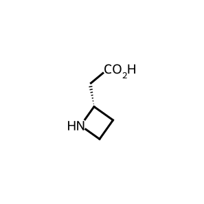 O=C(O)C[C@@H]1CCN1